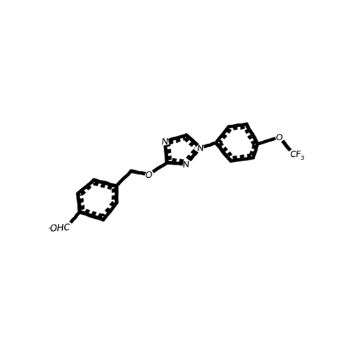 O=[C]c1ccc(COc2ncn(-c3ccc(OC(F)(F)F)cc3)n2)cc1